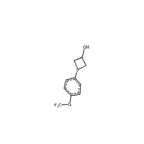 OC1CN(c2ccc(OC(F)(F)F)cc2)C1